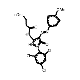 CCCCCCCCCCCCC(=O)Nc1[nH]n(-c2c(Cl)cc(Cl)cc2Cl)c(=O)c1N=Nc1ccc(OC)cc1